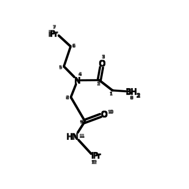 BCC(=O)N(CCC(C)C)CC(=O)NC(C)C